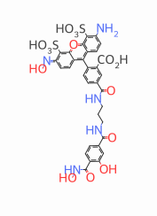 Nc1ccc2c(-c3ccc(C(=O)NCCCNC(=O)c4ccc(C(=O)NO)c(O)c4)cc3C(=O)O)c3cc/c(=N\O)c(S(=O)(=O)O)c-3oc2c1S(=O)(=O)O